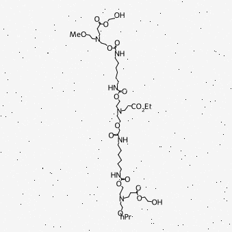 CCCOCCN(CCOC(=O)NCCCCCCNC(=O)COCCN(CCOC(=O)NCCCCCCNC(=O)OCCN(CCOC)CCC(=O)OCCO)CCC(=O)OCC)CCC(=O)OCCO